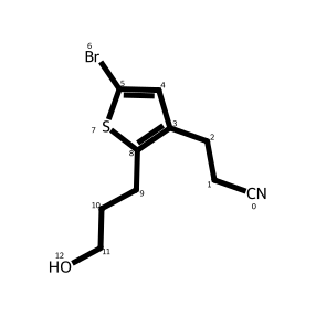 N#CCCc1cc(Br)sc1CCCO